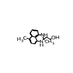 Cc1ccc2c3c(cccc13)NC(C)(CCO)N2